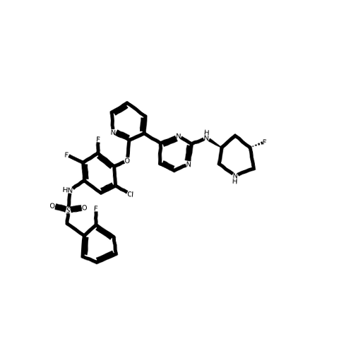 O=S(=O)(Cc1ccccc1F)Nc1cc(Cl)c(Oc2ncccc2-c2ccnc(N[C@@H]3CNC[C@@H](F)C3)n2)c(F)c1F